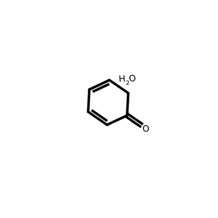 O.O=C1C=CC=CC1